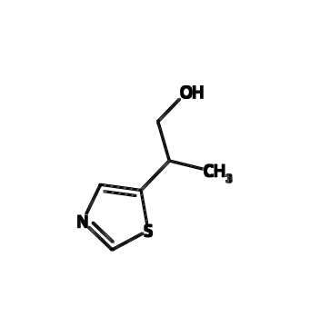 CC(CO)c1cncs1